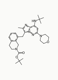 Cc1nc2c(NC(C)(C)C)cc(N3CCOCC3)nn2c1Cc1cccc2c1CN(C(=O)OC(C)(C)C)CC2